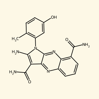 Cc1ccc(O)cc1-n1c(N)c(C(N)=O)c2nc3cccc(C(N)=O)c3nc21